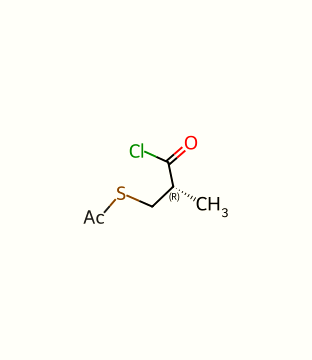 CC(=O)SC[C@@H](C)C(=O)Cl